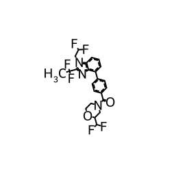 CC(F)(F)c1nc2c(-c3ccc(C(=O)N4CCOC(C(F)F)C4)cc3)cccc2n1CC(F)F